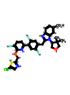 CC1(C)COCC1n1c(Cc2cc(F)c(-c3ccc(F)c(OCc4ncc(Cl)s4)n3)cc2F)nc2ccc(C(=O)O)cc21